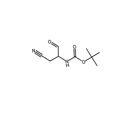 CC(C)(C)OC(=O)NC(C=O)CC#N